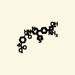 COC(=O)N(C)[C@H]1CC[C@H](CC(=O)Nc2cc(-c3ccsc3)c(-c3ccc([C@]4(N)C[C@](C)(O)C4)cc3)cn2)CC1